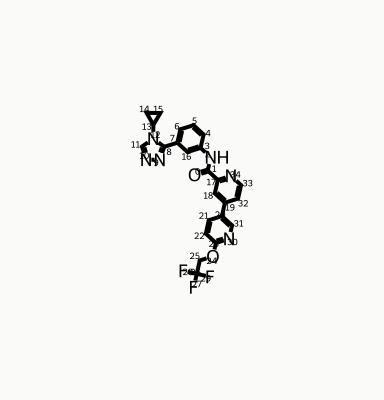 O=C(Nc1cccc(-c2nncn2C2CC2)c1)c1cc(-c2ccc(OCC(F)(F)F)nc2)ccn1